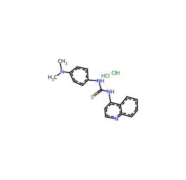 CN(C)c1ccc(NC(=S)Nc2ccnc3ccccc23)cc1.Cl.Cl